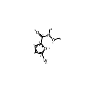 CON(C)C(=O)c1ccc(Br)o1